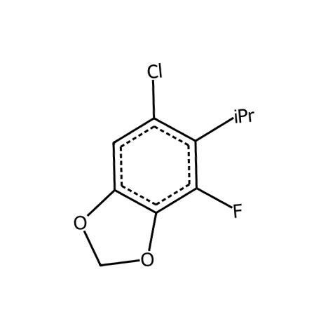 CC(C)c1c(Cl)cc2c(c1F)OCO2